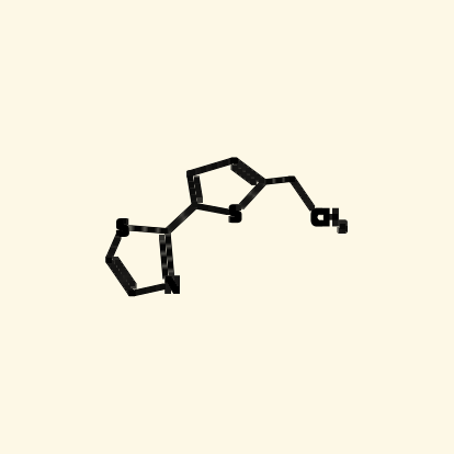 CCc1ccc(-c2nccs2)s1